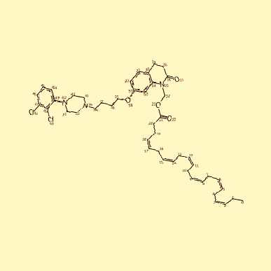 CC/C=C\C/C=C\C/C=C\C/C=C\C/C=C\C/C=C\CCC(=O)OCN1C(=O)CCc2ccc(OCCCCN3CCN(c4cccc(Cl)c4Cl)CC3)cc21